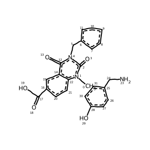 Cn1c(=O)n(Cc2ccccc2)c(=O)c2cc(C(=O)O)ccc21.NCc1ccc(O)cc1